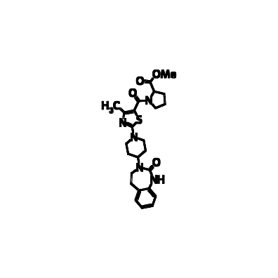 COC(=O)C1CCCN1C(=O)c1sc(N2CCC(N3CCc4ccccc4NC3=O)CC2)nc1C